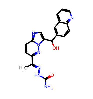 CC(=NNC(N)=O)c1ccc2ncc(C(O)c3ccc4ncccc4c3)n2n1